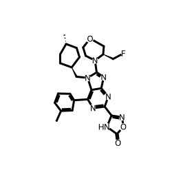 Cc1cccc(-c2nc(-c3noc(=O)[nH]3)nc3nc(N4CCOC[C@H]4CF)n(C[C@H]4CC[C@H](C)CC4)c23)c1